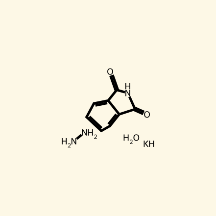 NN.O.O=C1NC(=O)c2ccccc21.[KH]